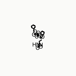 O=C(OCc1ccccc1)S(=O)(=O)N1C[C@H](CCc2noc(=O)[nH]2)Oc2ccccc21